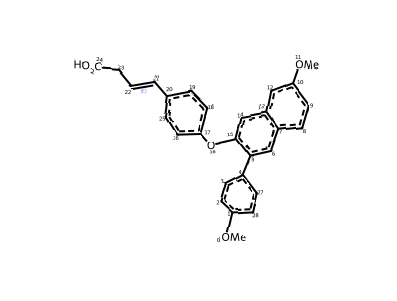 COc1ccc(-c2cc3ccc(OC)cc3cc2Oc2ccc(/C=C/CC(=O)O)cc2)cc1